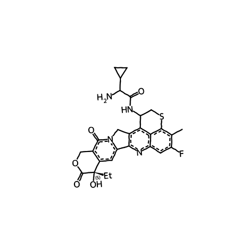 CC[C@@]1(O)C(=O)OCc2c1cc1n(c2=O)Cc2c-1nc1cc(F)c(C)c3c1c2C(NC(=O)C(N)C1CC1)CS3